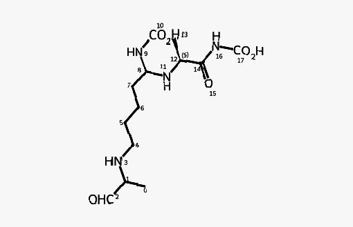 CC(C=O)NCCCCC(NC(=O)O)N[C@@H](C)C(=O)NC(=O)O